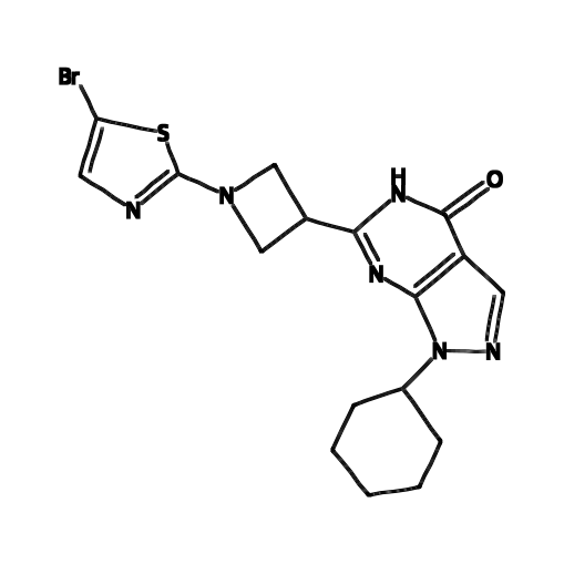 O=c1[nH]c(C2CN(c3ncc(Br)s3)C2)nc2c1cnn2C1CCCCC1